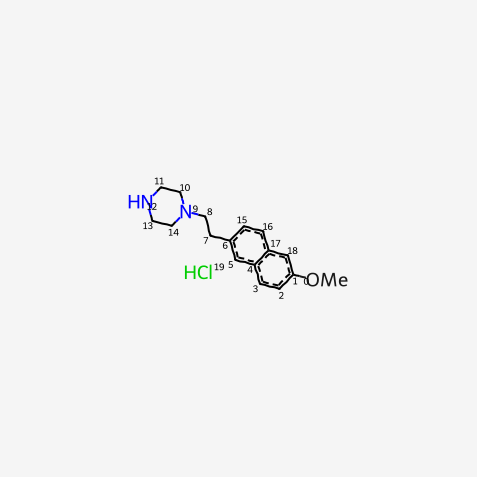 COc1ccc2cc(CCN3CCNCC3)ccc2c1.Cl